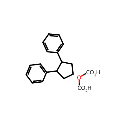 O=C(O)OC(=O)O.c1ccc(C2CCCC2c2ccccc2)cc1